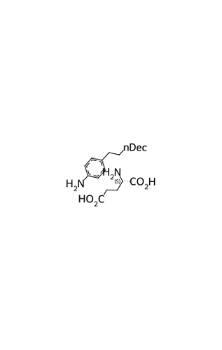 CCCCCCCCCCCCc1ccc(N)cc1.N[C@@H](CCC(=O)O)C(=O)O